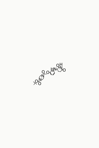 CC(C)(C)OC(=O)N1CCN(C(=O)COc2cccc(NC3CCC(=O)NC3=O)c2)CC1